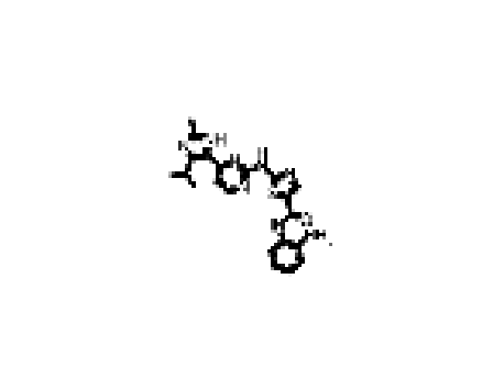 Cc1nc(C(C)C)c(-c2ccnc(Nc3ncc(C(=O)Nc4ccccc4N)s3)n2)[nH]1